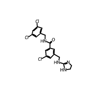 O=C(NCc1cc(Cl)cc(Cl)c1)c1cc(Cl)cc(CNC2=NCCN2)c1